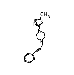 Cc1cnc(N2CCN(CC#Cc3ccccc3)CC2)s1